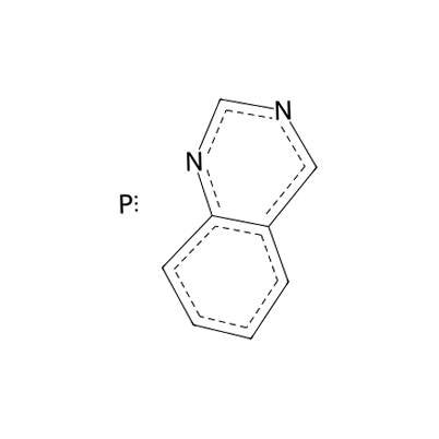 [P].c1ccc2ncncc2c1